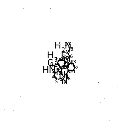 C[C@@H](Nc1ccc2ncc(-c3cccc(OCCCN)c3)n2n1)c1cccc(F)c1